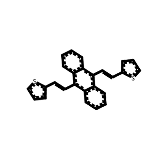 C(=C\c1c2ccccc2c(/C=C/c2cccs2)c2ccccc12)/c1cccs1